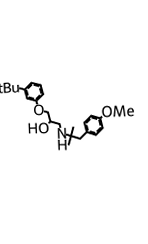 COc1ccc(CC(C)(C)NCC(O)COc2cccc(C(C)(C)C)c2)cc1